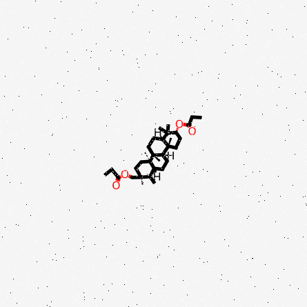 CCC(=O)OC[C@@]1(C)CC[C@]2(C)[C@H](CC[C@@H]3[C@@]4(C)CC[C@H](OC(=O)CC)C(C)(C)[C@@H]4CC[C@]32C)C1C